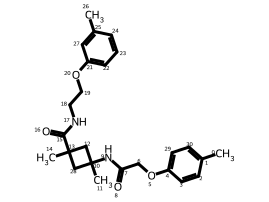 Cc1ccc(OCC(=O)NC2(C)CC(C)(C(=O)NCCOc3cccc(C)c3)C2)cc1